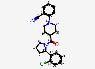 N#Cc1ccccc1N1CCC(C(=O)N2CCC[C@@H]2c2ccccc2Cl)CC1